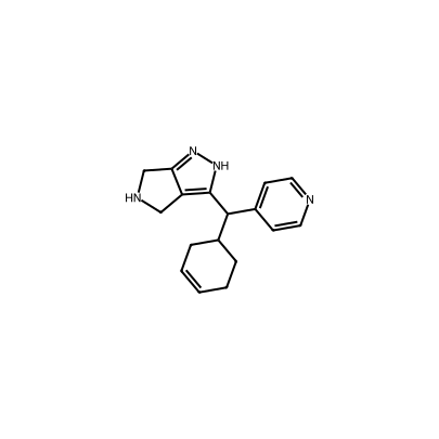 C1=CCC(C(c2ccncc2)c2[nH]nc3c2CNC3)CC1